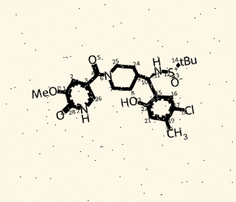 COc1cc(C(=O)N2CCC([C@@H](N[S+]([O-])C(C)(C)C)c3cc(Cl)c(C)cc3O)CC2)c[nH]c1=O